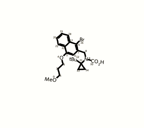 COCCCOc1cc(CN(C(=O)O)C2(C(C)(C)C)CC2)c(Br)c2ccccc12